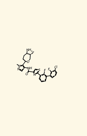 Cn1ncc(NC(=O)c2csc(-c3cccc(-c4cccc(Cl)c4F)c3F)n2)c1C1CCC(N)[C@@H](F)CO1